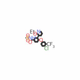 CCOc1ncccc1-c1cc(C(=O)NS(C)(=O)=O)ccc1Oc1ccc(Cl)c(C(F)(F)F)c1